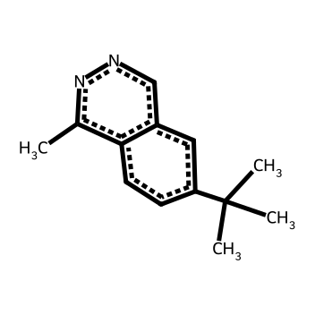 Cc1nncc2cc(C(C)(C)C)ccc12